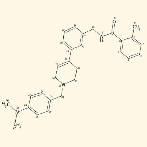 Cc1ccccc1C(=O)NCc1cccc(C2=CCN(Cc3ccc(N(C)C)cc3)CC2)c1